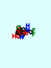 O=C(Nc1ccc(F)c(F)c1)c1ccc(Cl)c(S(=O)(=O)C2CC3CC(C2)C3(O)C(O)C(O)c2ncccc2F)c1